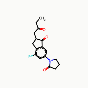 CCC(=O)CC1Cc2c(F)cc(N3CCCC3=O)cc2C1=O